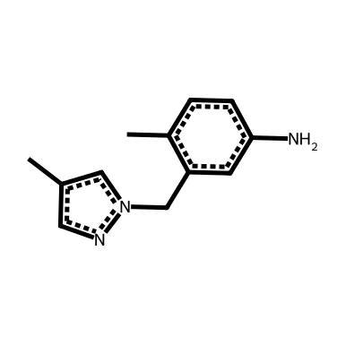 Cc1cnn(Cc2cc(N)ccc2C)c1